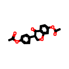 CC(=O)Oc1ccc(C2COc3cc(OC(C)=O)ccc3C2=O)cc1